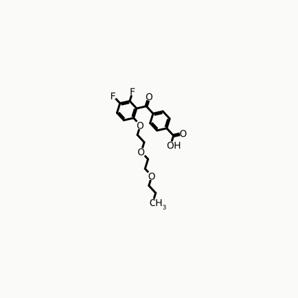 CCCOCCOCCOc1ccc(F)c(F)c1C(=O)c1ccc(C(=O)O)cc1